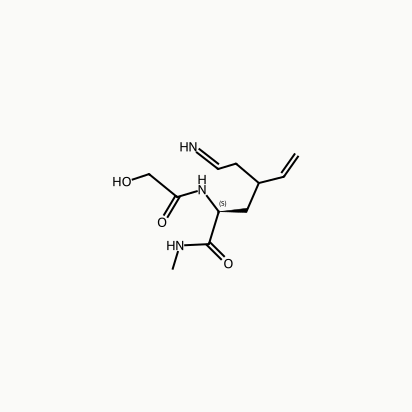 C=CC(CC=N)C[C@H](NC(=O)CO)C(=O)NC